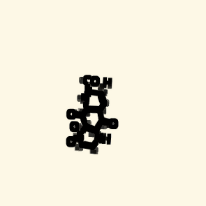 O=C(O)c1ccc2c(n1)C(=O)C1=C(NC=CS1(=O)=O)C2=O